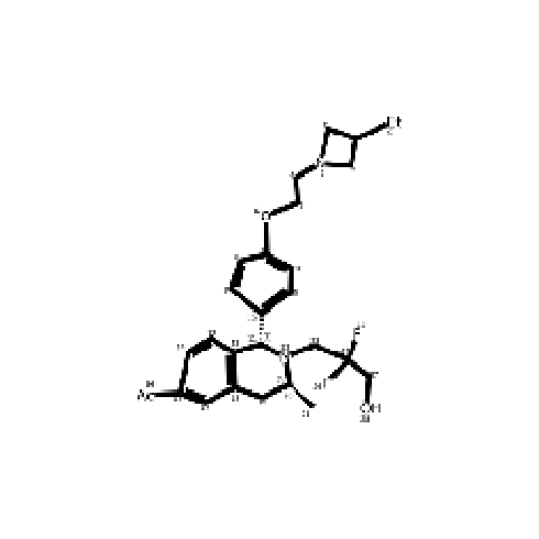 CCC1CN(CCOc2ccc([C@H]3c4ccc(C(C)=O)cc4C[C@H](C)N3CC(F)(F)CO)cc2)C1